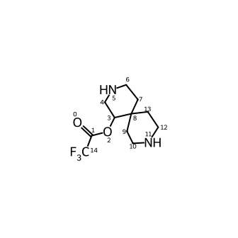 O=C(OC1CNCCC12CCNCC2)C(F)(F)F